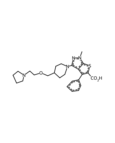 Cn1nc(N2CCC(COCCN3CCCC3)CC2)c2c(-c3ccccc3)c(C(=O)O)sc21